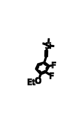 CCOc1ccc(C#C[Si](C)(C)C)c(F)c1F